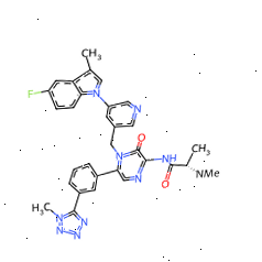 CN[C@@H](C)C(=O)Nc1ncc(-c2cccc(-c3nnnn3C)c2)n(Cc2cncc(-n3cc(C)c4cc(F)ccc43)c2)c1=O